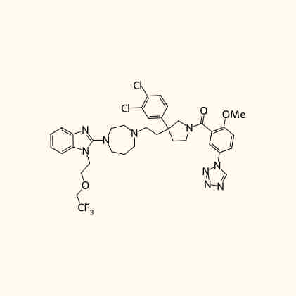 COc1ccc(-n2cnnn2)cc1C(=O)N1CCC(CCN2CCCN(c3nc4ccccc4n3CCOCC(F)(F)F)CC2)(c2ccc(Cl)c(Cl)c2)C1